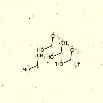 CCO.CCO.CCO.CCO.[Hf]